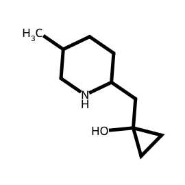 CC1CCC(CC2(O)CC2)NC1